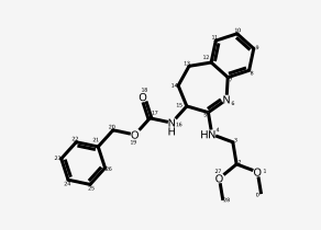 COC(CNC1=Nc2ccccc2CCC1NC(=O)OCc1ccccc1)OC